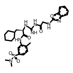 Cc1ccc(S(=O)(=O)N(C)C)cc1NC(=O)[C@@H](CC1CCCCC1)NC(=N)NC(=O)CNc1nc2ccccc2o1